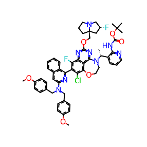 COc1ccc(CN(Cc2ccc(OC)cc2)c2cc3ccccc3c(-c3c(Cl)c4c5c(nc(OC[C@@]67CCCN6C[C@H](F)C7)nc5c3F)N([C@H](C)c3cccnc3NC(=O)OC(C)(C)C)CCO4)n2)cc1